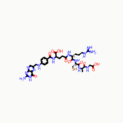 CC(NC(=O)[C@H](CS)NC(=O)[C@H](CCCNC(=N)N)NC(=O)CCC(NC(=O)c1ccc(NCc2cnc3nc(N)[nH]c(=O)c3n2)cc1)C(=O)O)C(=O)NCC(=O)O